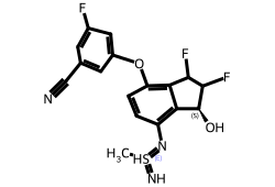 C/[SH](=N)=N\c1ccc(Oc2cc(F)cc(C#N)c2)c2c1[C@H](O)C(F)C2F